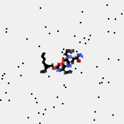 C=CCCC1C(CCC)C1COC(=O)N[C@@H](CC(C)C)C(=O)N[C@@H](CCC(N)=O)C(=O)NCC(=O)O